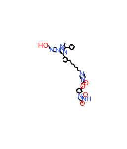 Cc1nn2c(N3CCN(CCO)CC3)cc(-c3cccc(CCCCCCCN4CCN(C(=O)COc5cccc(N6CCC(=O)NC6=O)c5)CC4)c3)nc2c1-c1ccccc1